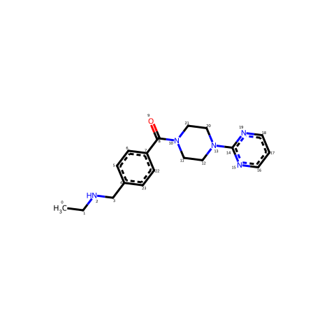 CCNCc1ccc(C(=O)N2CCN(c3ncccn3)CC2)cc1